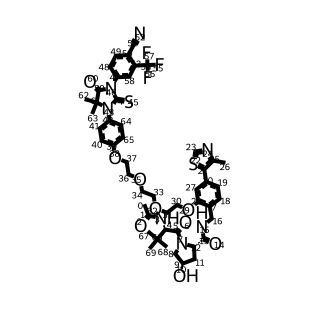 CC(=O)N[C@H](C(=O)N1C[C@H](O)C[C@H]1C(=O)NCc1ccc(-c2scnc2C)cc1OCCOCCOCCOc1ccc(N2C(=S)N(c3ccc(C#N)c(C(F)(F)F)c3)C(=O)C2(C)C)cc1)C(C)(C)C